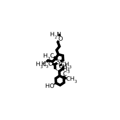 CCCC1(C)C(CCCON)CCS1(C)C(C)C[C@H](CC)C1C[C@H](O)CCC1(C)C